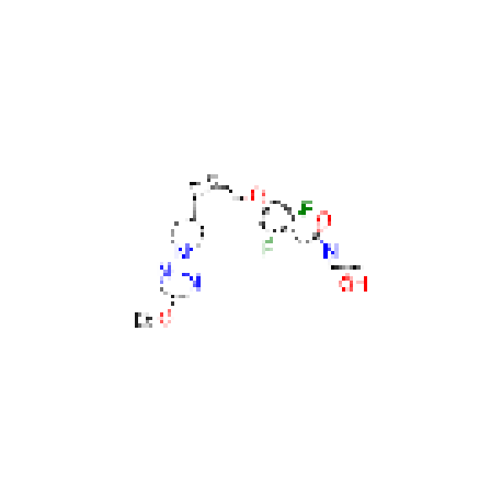 CCOc1cnc(N2CCC(C3C[C@H]3CCOc3cc(F)c(CC(=O)N4CC(C)(O)C4)c(F)c3)CC2)nc1